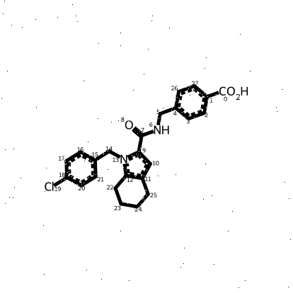 O=C(O)c1ccc(CNC(=O)c2cc3c(n2Cc2ccc(Cl)cc2)CCCC3)cc1